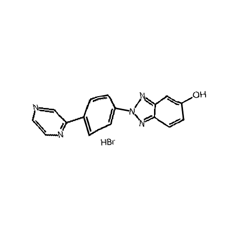 Br.Oc1ccc2nn(-c3ccc(-c4cnccn4)cc3)nc2c1